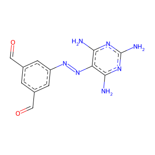 Nc1nc(N)c(N=Nc2cc(C=O)cc(C=O)c2)c(N)n1